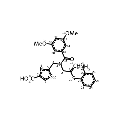 C=C(CN(Cc1nc(C(=O)O)cs1)C(=O)c1cc(OC)cc(OC)c1)Sc1ccccc1N